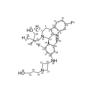 C[C@@H]1Cc2c([nH]c3cc(F)ccc23)[C@@H](c2c(F)cc(NC3CN(CCCO)C3)cc2F)N1CC(C)(F)CO